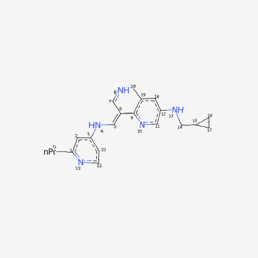 CCCc1cc(N/C=C(\C=N)c2ncc(NCC3CC3)cc2C)ccn1